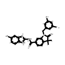 CC1(C)C(=O)N(Cc2cc(F)cc(F)c2)c2cc(C(=O)Nc3nc4cc(F)ccc4[nH]3)ccc21